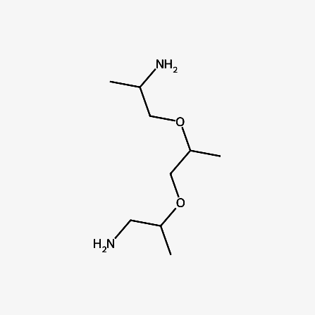 CC(N)COC(C)COC(C)CN